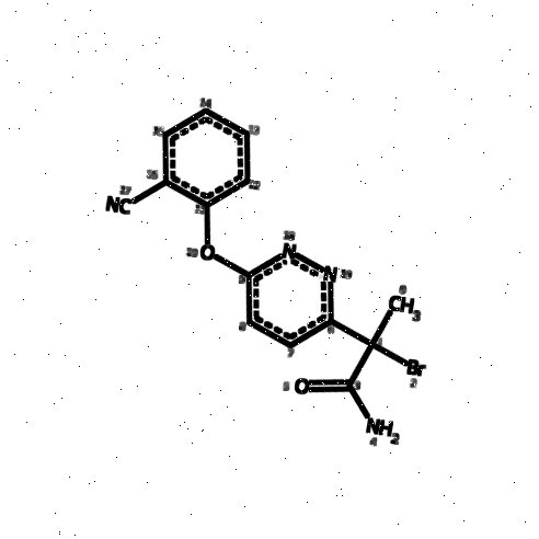 CC(Br)(C(N)=O)c1ccc(Oc2ccccc2C#N)nn1